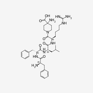 CC(C)C[C@@H](NC(=O)[C@@H](Cc1ccccc1)NC(=O)[C@H](N)Cc1ccccc1)C(=O)N[C@H](CCCCNC(=N)N)C(=O)N1CCC(N)(C(=O)O)CC1